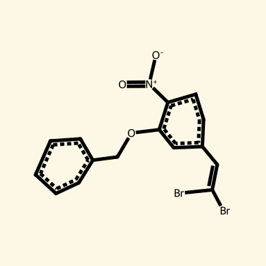 O=[N+]([O-])c1ccc(C=C(Br)Br)cc1OCc1ccccc1